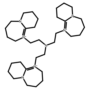 C1CCN2CCCC[N+](CCN(CC[N+]3=C4CCCCN4CCCC3)CC[N+]3=C4CCCCN4CCCC3)=C2C1